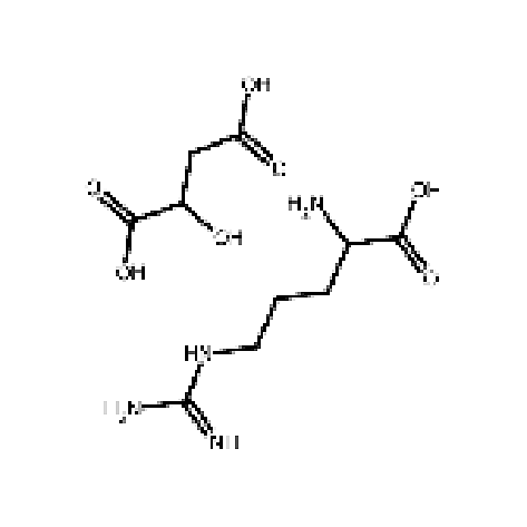 N=C(N)NCCCC(N)C(=O)O.O=C(O)CC(O)C(=O)O